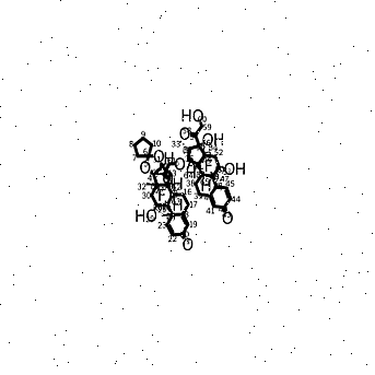 CC(=O)OCC(=O)[C@@]12OC3(CCCC3)O[C@@H]1C[C@H]1[C@@H]3CCC4=CC(=O)C=C[C@]4(C)[C@@]3(F)[C@@H](O)C[C@@]12C.C[C@H]1C[C@H]2[C@@H]3CCC4=CC(=O)C=C[C@]4(C)[C@@]3(F)[C@@H](O)C[C@]2(C)[C@@]1(O)C(=O)CO